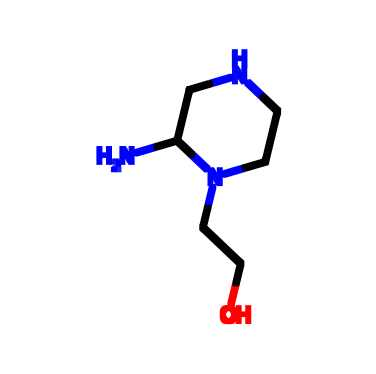 NC1CNCCN1CCO